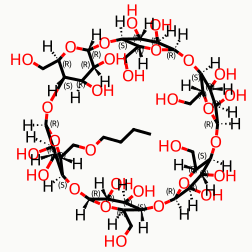 CCCCOC[C@H]1O[C@@H]2O[C@H]3[C@H](O)[C@@H](O)[C@@H](O[C@H]4[C@H](O)[C@@H](O)[C@@H](O[C@H]5[C@H](O)[C@@H](O)[C@@H](O[C@H]6[C@H](O)[C@@H](O)[C@@H](O[C@H]7[C@H](O)[C@@H](O)[C@@H](O[C@H]1[C@H](O)[C@H]2O)O[C@@H]7CO)O[C@@H]6CO)O[C@@H]5CO)O[C@@H]4CO)O[C@@H]3CO